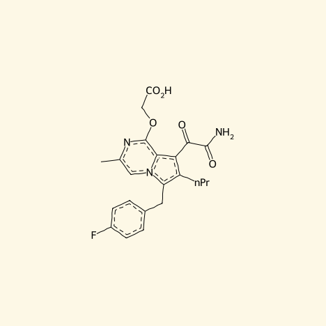 CCCc1c(C(=O)C(N)=O)c2c(OCC(=O)O)nc(C)cn2c1Cc1ccc(F)cc1